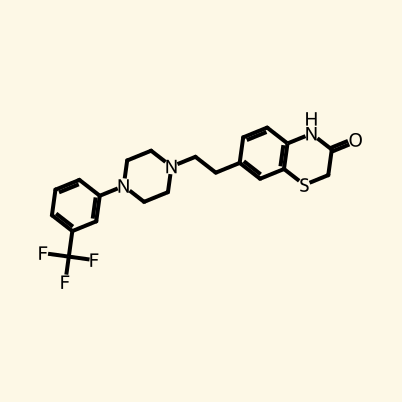 O=C1CSc2cc(CCN3CCN(c4cccc(C(F)(F)F)c4)CC3)ccc2N1